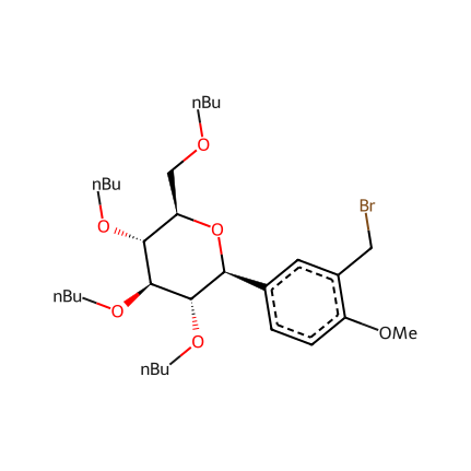 CCCCOC[C@H]1O[C@@H](c2ccc(OC)c(CBr)c2)[C@H](OCCCC)[C@@H](OCCCC)[C@@H]1OCCCC